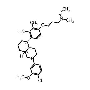 COc1cc(N2CCN3[C@@H](CCC[C@@H]3c3ccc(OCCCN(C)OC)c(C)c3C)C2)ccc1Cl